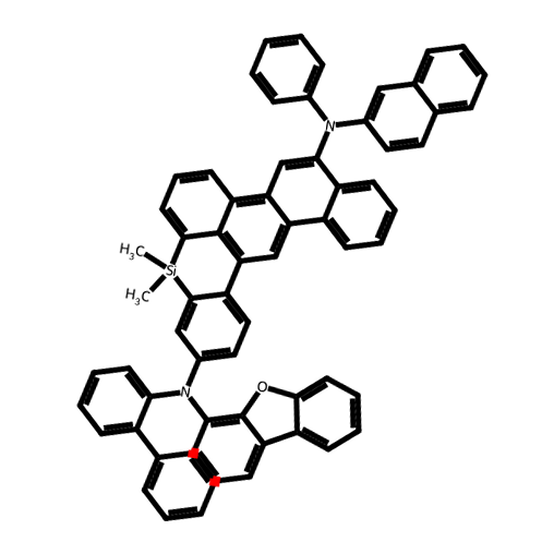 C[Si]1(C)c2cc(N(c3ccccc3-c3ccccc3)c3cccc4c3oc3ccccc34)ccc2-c2cc3c4ccccc4c(N(c4ccccc4)c4ccc5ccccc5c4)cc3c3cccc1c23